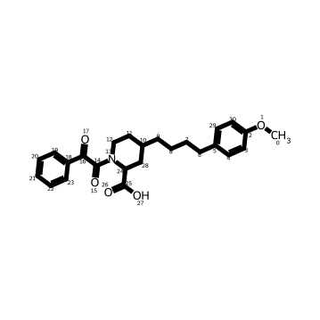 COc1ccc(CCCCC2CCN(C(=O)C(=O)c3ccccc3)C(C(=O)O)C2)cc1